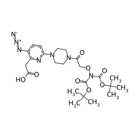 CC(C)(C)OC(=O)N(OCC(=O)N1CCN(c2ccc(N=[N+]=[N-])c(CC(=O)O)n2)CC1)C(=O)OC(C)(C)C